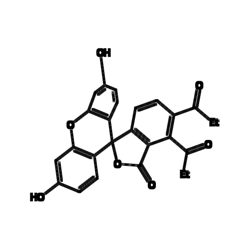 CCC(=O)c1ccc2c(c1C(=O)CC)C(=O)OC21c2ccc(O)cc2Oc2cc(O)ccc21